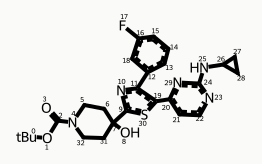 CC(C)(C)OC(=O)N1CCC(O)(c2nc(-c3cccc(F)c3)c(-c3ccnc(NC4CC4)n3)s2)CC1